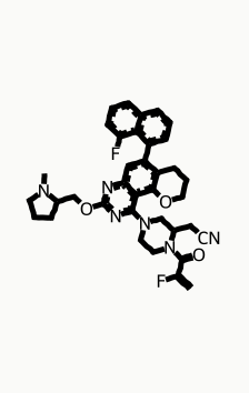 C=C(F)C(=O)N1CCN(c2nc(OCC3CCCN3C)nc3cc(-c4cccc5cccc(F)c45)c4c(c23)OCCC4)CC1CC#N